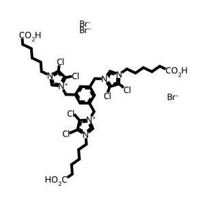 O=C(O)CCCCCn1c[n+](Cc2cc(C[n+]3cn(CCCCCC(=O)O)c(Cl)c3Cl)cc(C[n+]3cn(CCCCCC(=O)O)c(Cl)c3Cl)c2)c(Cl)c1Cl.[Br-].[Br-].[Br-]